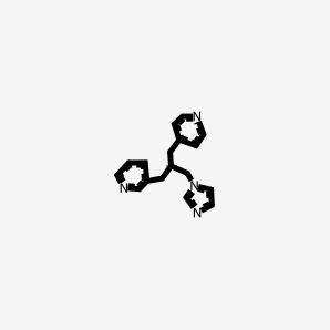 c1cncc(C[C](Cc2ccncc2)Cn2ccnc2)c1